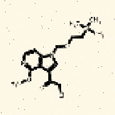 COc1nccc2c1c(C(=O)CCl)cn2COCC[Si](C)(C)C